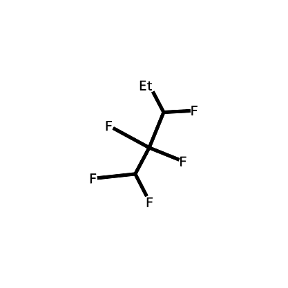 [CH2]CC(F)C(F)(F)C(F)F